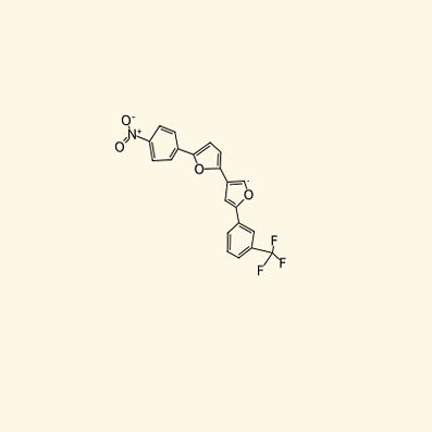 O=[N+]([O-])c1ccc(-c2ccc(-c3[c]oc(-c4cccc(C(F)(F)F)c4)c3)o2)cc1